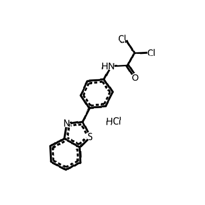 Cl.O=C(Nc1ccc(-c2nc3ccccc3s2)cc1)C(Cl)Cl